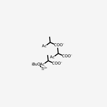 CC(=O)C(C)C(=O)[O-].CC(=O)C(C)C(=O)[O-].CC(=O)C(C)C(=O)[O-].CC(C)C[O][Ti+3]